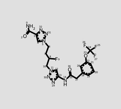 NC(=O)c1cn(CCC(F)Cn2cc(NC(=O)Cc3cccc(OC(F)(F)F)c3)nn2)nn1